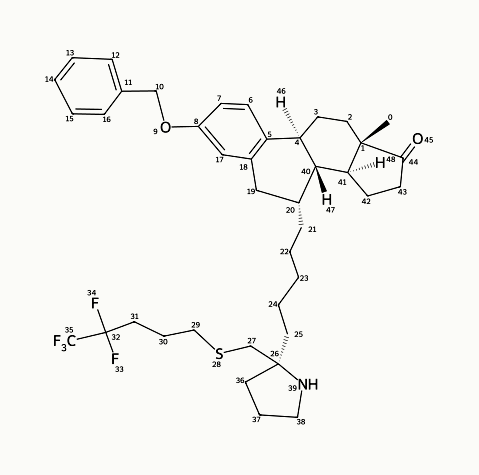 C[C@]12CC[C@@H]3c4ccc(OCc5ccccc5)cc4C[C@@H](CCCCC[C@@]4(CSCCCC(F)(F)C(F)(F)F)CCCN4)[C@H]3[C@@H]1CCC2=O